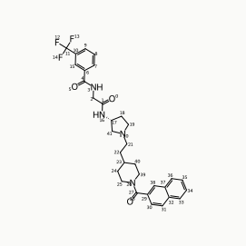 O=C(CNC(=O)c1cccc(C(F)(F)F)c1)N[C@@H]1CCN(CCC2CCN(C(=O)c3ccc4ccccc4c3)CC2)C1